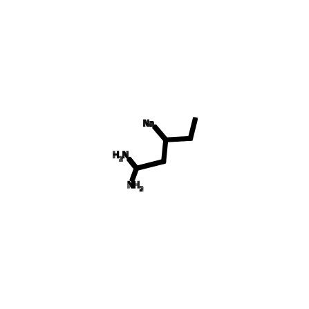 CC[CH]([Na])CC(N)N